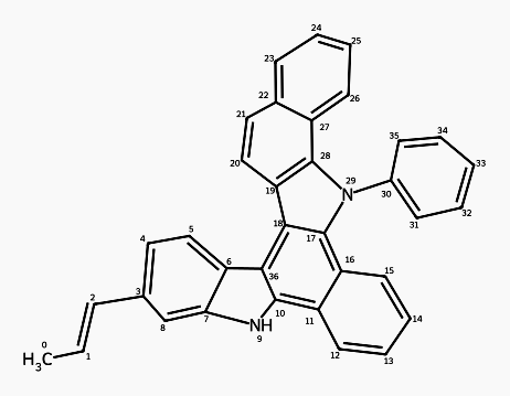 C/C=C/c1ccc2c(c1)[nH]c1c3ccccc3c3c(c4ccc5ccccc5c4n3-c3ccccc3)c21